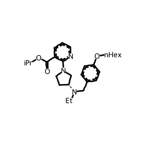 CCCCCCOc1ccc(CN(CC)[C@@H]2CCN(c3ncccc3C(=O)OC(C)C)C2)cc1